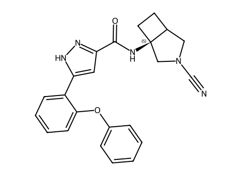 N#CN1CC2CC[C@@]2(NC(=O)c2cc(-c3ccccc3Oc3ccccc3)[nH]n2)C1